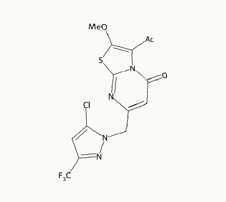 COc1sc2nc(Cn3nc(C(F)(F)F)cc3Cl)cc(=O)n2c1C(C)=O